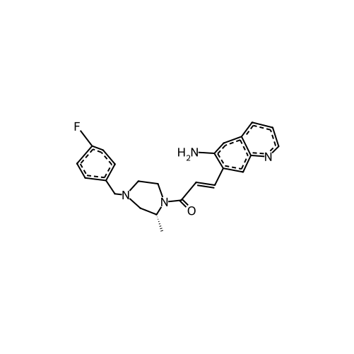 C[C@@H]1CN(Cc2ccc(F)cc2)CCN1C(=O)/C=C/c1cc2ncccc2cc1N